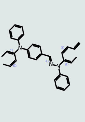 C=C/C=C\C(=C/C)N(/N=C/c1ccc(N(C(/C=C\C)=C/C)c2ccccc2)cc1)c1ccccc1